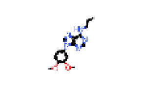 CCCNc1ncnc2c1ncn2-c1ccc(OC)c(OC)c1